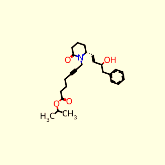 CC(C)OC(=O)CCCC#CCN1C(=O)CCC[C@@H]1C=CC(O)Cc1ccccc1